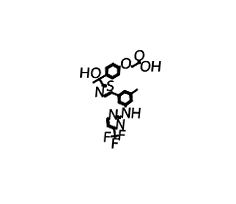 Cc1cc(Nc2nccc(C(F)(F)F)n2)cc(-c2cnc(C(C)(O)c3ccc(OCC(=O)O)cc3)s2)c1